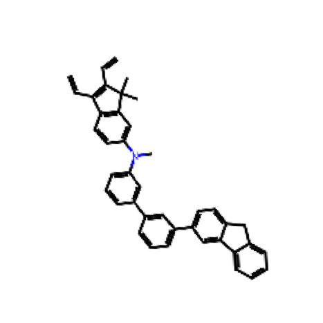 C=CC1=C(C=C)C(C)(C)c2cc(N(C)c3cccc(-c4cccc(-c5ccc6c(c5)-c5ccccc5C6)c4)c3)ccc21